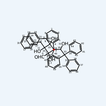 O=CC(O)(Cc1ccccc1)C(O)(Cc1ccccc1)C(O)(Cc1ccccc1)C(O)C(O)C(c1ccccc1)(c1ccccc1)c1ccccc1